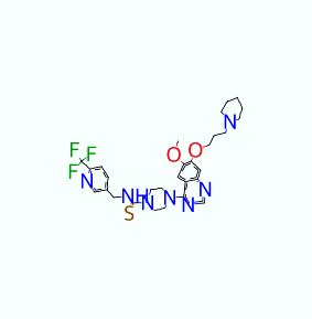 COc1cc2c(N3CCN(C(=S)NCc4ccc(C(F)(F)F)nc4)CC3)ncnc2cc1OCCCN1CCCCC1